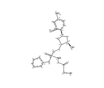 CC(C)OC(=O)CNP(=O)(OCC1O[C@@H](n2ccc(N)nc2=O)C[C@H]1O)Oc1ccccc1